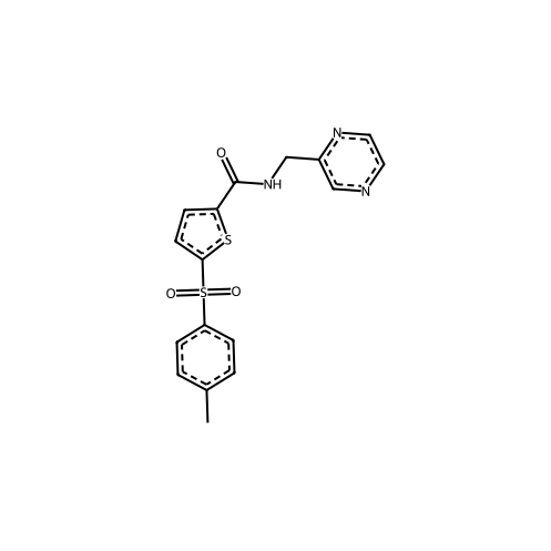 Cc1ccc(S(=O)(=O)c2ccc(C(=O)NCc3cnccn3)s2)cc1